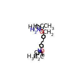 C=Cc1oc(-c2ccc(/C=C/c3ccc(C(=C)O/C(CC(=C)C)=C(N)/C=C\C)cc3)cc2)nc1C=C(C)C